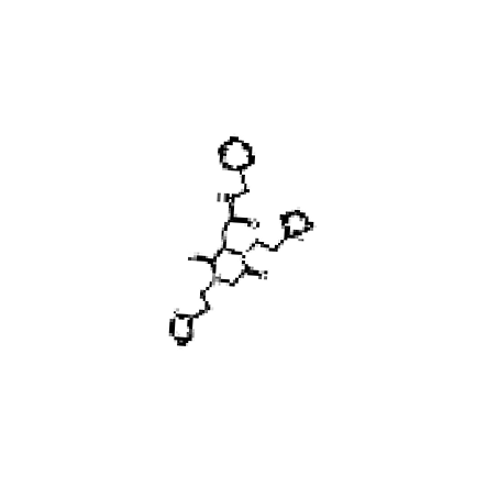 O=C(CC1C(=O)N(CCc2cccs2)CC(=O)N1CCc1cccs1)NCc1ccccc1